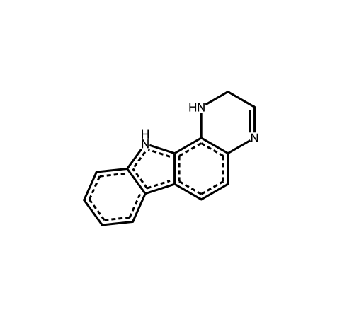 C1=Nc2ccc3c([nH]c4ccccc43)c2NC1